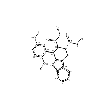 COC(=O)[C@@H]1Cc2c([nH]c3ccccc23)[C@@H](c2cc(OC)ccc2OC)N1C(=O)CCl